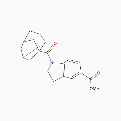 COC(=O)c1ccc2c(c1)CCN2C(=O)C12CC3CC(CC(C3)C1)C2